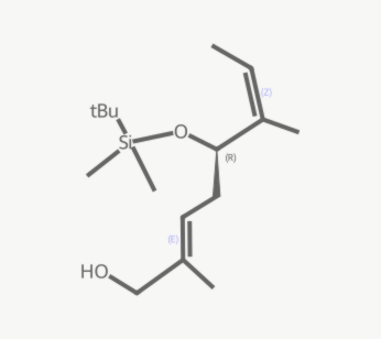 C/C=C(/C)[C@@H](C/C=C(\C)CO)O[Si](C)(C)C(C)(C)C